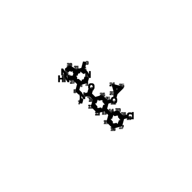 Cc1ncc(CN(C)C(=O)c2ccc(-c3cccc(Cl)c3)c(OC3CC3)c2)c2[nH]ncc12